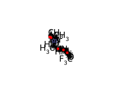 CCCc1ccc(C)cc1-n1c(C)cs/c1=N\C(=O)NC(C)CCc1ccc(C2NCN(c3ccc(OC(F)(F)F)cc3)N2)cc1